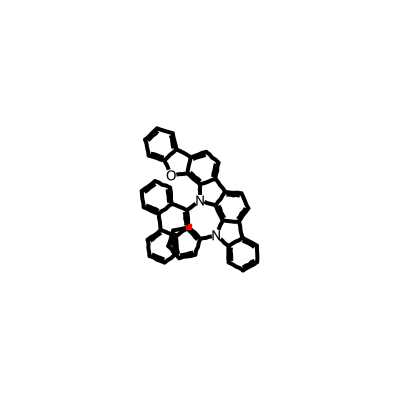 c1ccc(-n2c3ccccc3c3ccc4c5ccc6c7ccccc7oc6c5n(-c5cc6ccccc6c6ccccc56)c4c32)cc1